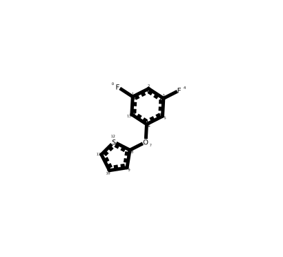 Fc1cc(F)cc(Oc2c[c]cs2)c1